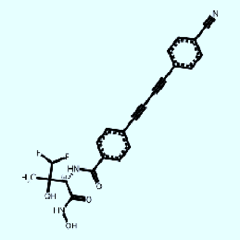 CC(O)(C(F)F)[C@H](NC(=O)c1ccc(C#CC#Cc2ccc(C#N)cc2)cc1)C(=O)NO